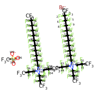 FC(F)(F)C(F)(F)C(F)(F)C(F)(F)C(F)(F)C(F)(F)C(F)(F)C(F)(F)C(F)(F)C(F)(F)C(F)(F)[N+](C(F)(F)C(F)(F)C(F)(F)F)(C(F)(F)C(F)(F)C(F)(F)F)C(F)(F)C(F)(F)C(F)(F)F.FC(F)(F)C(F)(F)C(F)(F)C(F)(F)C(F)(F)C(F)(F)C(F)(F)C(F)(F)C(F)(F)C(F)(F)C(F)(F)[N+](C(F)(F)C(F)(F)C(F)(F)F)(C(F)(F)C(F)(F)C(F)(F)F)C(F)(F)C(F)(F)C(F)(F)F.O=S(=O)([O-])C(F)(F)F.[Br-]